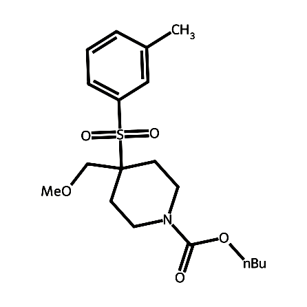 CCCCOC(=O)N1CCC(COC)(S(=O)(=O)c2cccc(C)c2)CC1